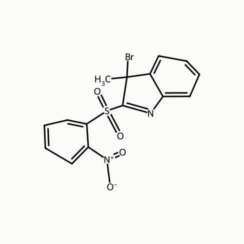 CC1(Br)C(S(=O)(=O)c2ccccc2[N+](=O)[O-])=Nc2ccccc21